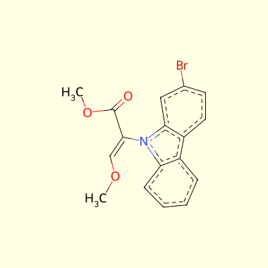 CO/C=C(/C(=O)OC)n1c2ccccc2c2ccc(Br)cc21